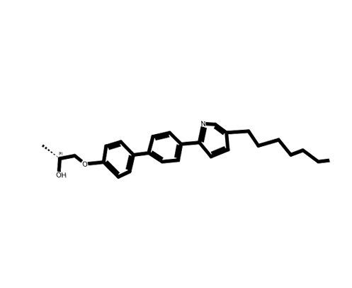 CCCCCCCc1ccc(-c2ccc(-c3ccc(OC[C@@H](C)O)cc3)cc2)nc1